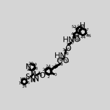 Cc1cc(OCc2nnc(SC3CCCC3)n2-c2cccnc2)ccc1C#CCOC(=O)NCCOCCNC(=O)CC1[C@H]2C[C@@H](C)C[C@H](C2)C[C@H]1C